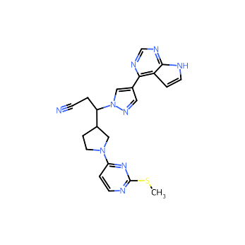 CSc1nccc(N2CCC(C(CC#N)n3cc(-c4ncnc5[nH]ccc45)cn3)C2)n1